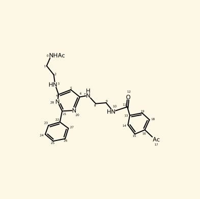 CC(=O)NCCNc1cc(NCCNC(=O)c2ccc(C(C)=O)cc2)nc(-c2ccccc2)n1